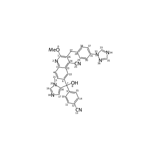 COc1nc2ccc(C(O)(c3ccc(C#N)cc3)c3cncn3C)cc2c(C#N)c1Cc1ccc(-n2cncn2)cc1